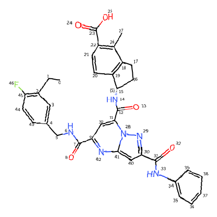 CCc1cc(CNC(=O)c2cc(C(=O)N[C@H]3CCc4c3ccc(C(=O)O)c4C)n3nc(C(=O)Nc4ccccc4)cc3n2)ccc1F